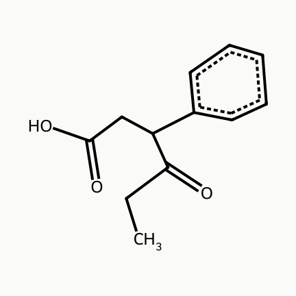 CCC(=O)C(CC(=O)O)c1ccccc1